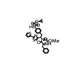 COC(=O)N[C@@H](Cc1ccccc1)C(=O)NC(Cc1ccc(NS(=O)(=O)OC2CC2)cc1)c1csc(-c2cccs2)n1